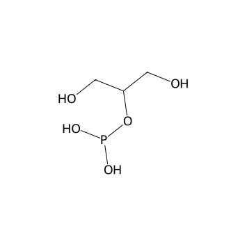 OCC(CO)OP(O)O